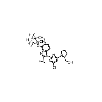 CC(C)(C)[Si](C)(C)Oc1cccc2c1nc(C(F)F)n2-c1nc(Cl)cc(N2CCCC2CO)n1